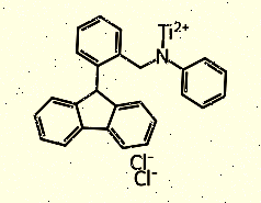 [Cl-].[Cl-].[Ti+2][N](Cc1ccccc1C1c2ccccc2-c2ccccc21)c1ccccc1